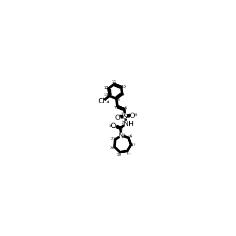 O=C(NS(=O)(=O)C=Cc1ccccc1Cl)N1CCCCCC1